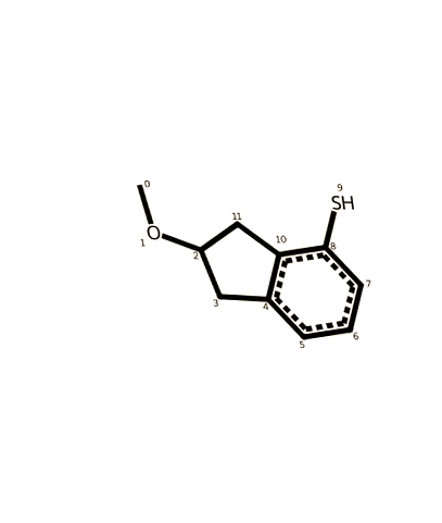 COC1Cc2cccc(S)c2C1